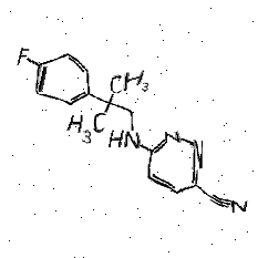 CC(C)(CNc1ccc(C#N)nn1)c1ccc(F)cc1